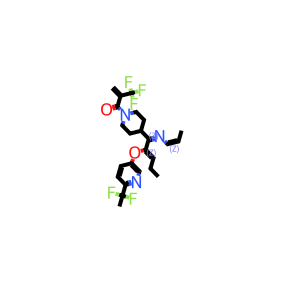 C=C(C(=O)N1CCC(C(=N/C=C\C)/C(=C/CC)Oc2ccc(C(C)(F)F)nc2)CC1)C(F)(F)F